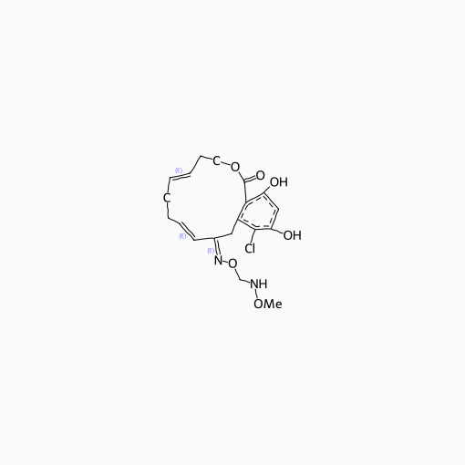 CONCO/N=C1/C=C/CC/C=C/CCOC(=O)c2c(O)cc(O)c(Cl)c2C1